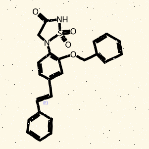 O=C1CN(c2ccc(/C=C/c3ccccc3)cc2OCc2ccccc2)S(=O)(=O)N1